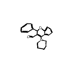 O=CC1=C(N2CCCCC2)c2ccccc2OC1c1ccccc1